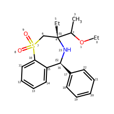 CCOC(C)[C@@]1(CC)CS(=O)(=O)c2ccccc2[C@H](c2ccccc2)N1